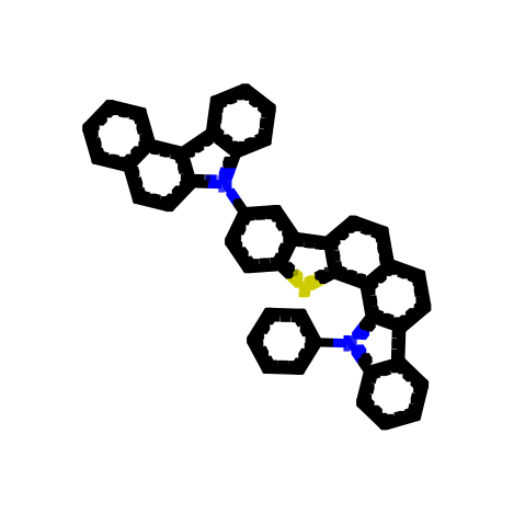 c1ccc(-n2c3ccccc3c3ccc4ccc5c6cc(-n7c8ccccc8c8c9ccccc9ccc87)ccc6sc5c4c32)cc1